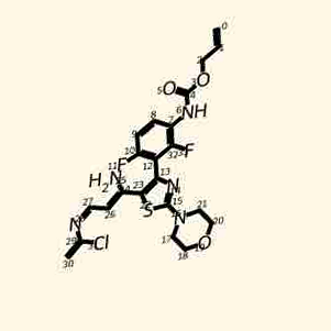 C=CCOC(=O)Nc1ccc(F)c(-c2nc(N3CCOCC3)sc2/C(N)=C/C=N\C(=C)Cl)c1F